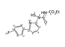 CCOC(=O)NC(=O)N(S)c1cccc(-c2ccc(F)cc2)n1